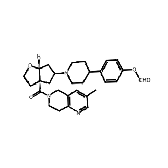 Cc1cnc2c(c1)CN(C(=O)[C@@]13CCO[C@@H]1C[C@@H](N1CCC(c4ccc(OC=O)cc4)CC1)C3)CC2